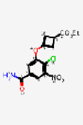 CCOC(=O)C1CC(Oc2cc(C(N)=O)cc([N+](=O)[O-])c2Cl)C1